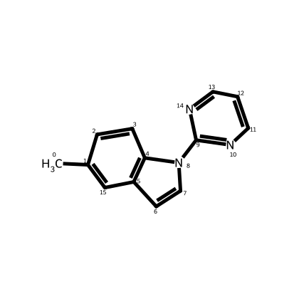 Cc1ccc2c(ccn2-c2ncccn2)c1